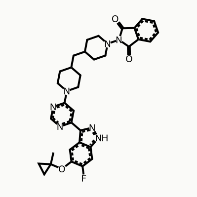 CC1(Oc2cc3c(-c4cc(N5CCC(CC6CCN(N7C(=O)c8ccccc8C7=O)CC6)CC5)ncn4)n[nH]c3cc2F)CC1